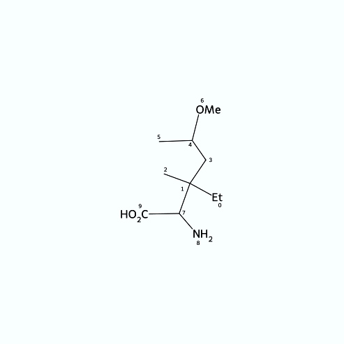 CCC(C)(CC(C)OC)C(N)C(=O)O